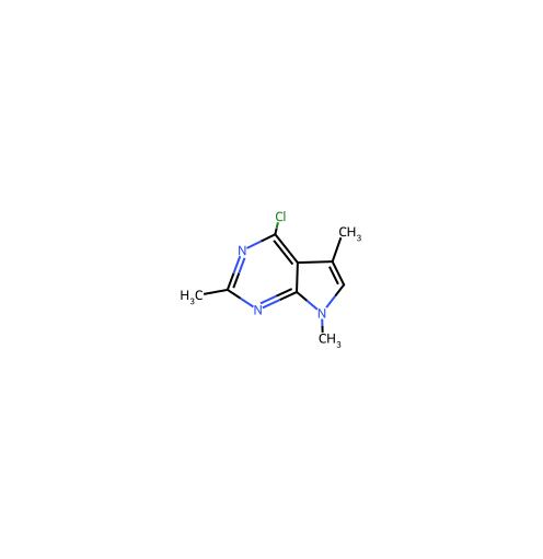 Cc1nc(Cl)c2c(C)cn(C)c2n1